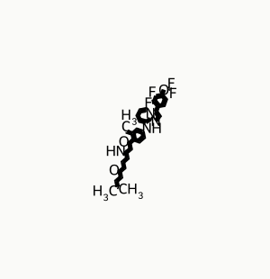 CCc1cc(NC2=CCC=Cn3c(-c4ccc(OC(F)F)c(F)c4F)cnc32)ccc1C(=O)CC(=N)CCCC(=O)CCC(C)C